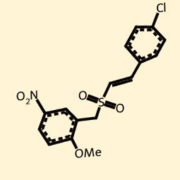 COc1ccc([N+](=O)[O-])cc1CS(=O)(=O)/C=C/c1ccc(Cl)cc1